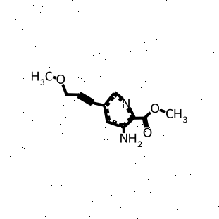 COCC#Cc1cnc(C(=O)OC)c(N)c1